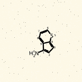 Nc1ccc2scccc1-2